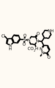 Cn1nc(C(C2CCNCC2)N2C(=O)CN(S(=O)(=O)c3ccc4c(Cl)c[nH]c4c3)CC2C(=O)O)ccc1=O